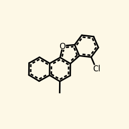 Cc1cc2c(oc3cccc(Cl)c32)c2ccccc12